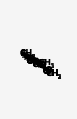 C=CC(=O)OCCCCOc1ccc(C(=O)Oc2ccc(C(=O)Oc3ccc(CCCC)cc3)cc2)cc1C